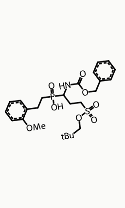 COc1ccccc1CCP(=O)(O)C(CCS(=O)(=O)OCC(C)(C)C)NC(=O)OCc1ccccc1